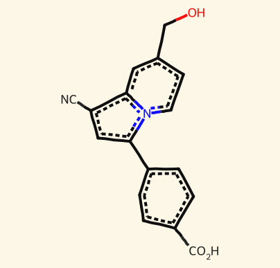 N#Cc1cc(-c2ccc(C(=O)O)cc2)n2ccc(CO)cc12